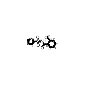 O=C(NS(=O)(=O)c1cccs1)c1ccccc1Cl